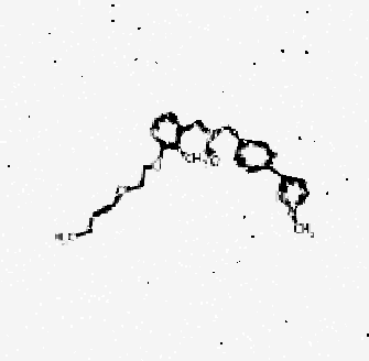 CCCCOCCOc1nccc(CN(C=O)Cc2ccc(-c3ccn(C)n3)cc2)c1C